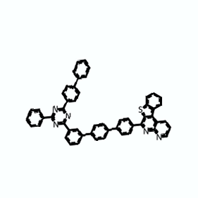 c1ccc(-c2ccc(-c3nc(-c4ccccc4)nc(-c4cccc(-c5ccc(-c6ccc(-c7nc8ncccc8c8c7sc7ccccc78)cc6)cc5)c4)n3)cc2)cc1